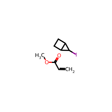 C=CC(=O)OC.IC1C2CCC12